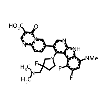 CNc1cc(F)c(F)c2c1[nH]c1ncc(-c3ccc4ncc(C(=O)O)c(=O)n4c3)c(N3CCC(F)(CN(C)C)C3)c12